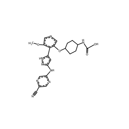 COc1cncc(OC2CCC(NC(=O)O)CC2)c1-c1cc(Nc2cnc(C#N)cn2)n[nH]1